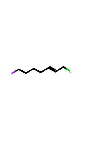 ClCC=CCCCCI